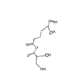 CCCCCCCC(O)CCCC(=O)OC(=O)C(O)CO